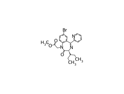 CCC(CC)[C@@H]1N=C(c2ccccn2)c2cc(Br)ccc2N(CC(=O)OC)C1=O